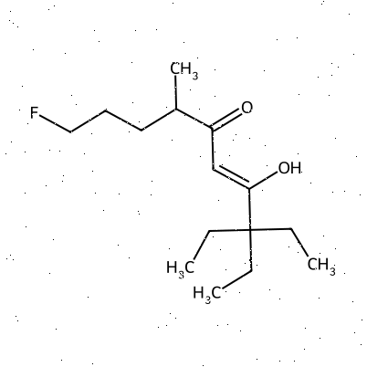 CCC(CC)(CC)/C(O)=C/C(=O)C(C)CCCF